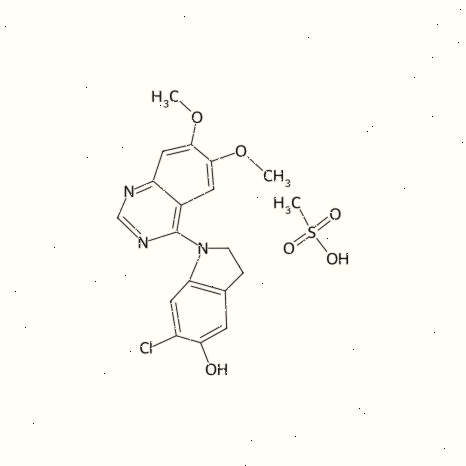 COc1cc2ncnc(N3CCc4cc(O)c(Cl)cc43)c2cc1OC.CS(=O)(=O)O